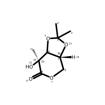 CC1(C)OC2[C@@H](COC(=O)[C@@]2(C)O)O1